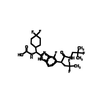 CC(C)(F)CNC(=O)[C@@H](CC(C)(F)F)c1ccc2[nH]c([C@@H](NC(=O)O)C3CCC(F)(F)CC3)nc2c1F